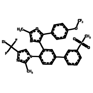 CCC(F)(F)c1cn(-c2ccc(-c3cccc(S(C)(=O)=O)c3)cc2-c2nc(C)oc2-c2ccc(OC(F)(F)F)cc2)c(C)n1